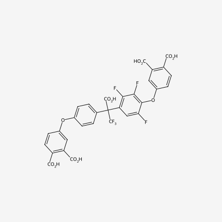 O=C(O)c1ccc(Oc2ccc(C(C(=O)O)(c3cc(F)c(Oc4ccc(C(=O)O)c(C(=O)O)c4)c(F)c3F)C(F)(F)F)cc2)cc1C(=O)O